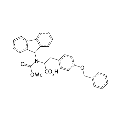 COC(=O)N(C(Cc1ccc(OCc2ccccc2)cc1)C(=O)O)C1c2ccccc2-c2ccccc21